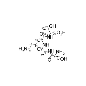 C[C@H](NC(=O)[C@@H](N)CO)C(=O)N[C@@H](CCCCN)C(=O)N[C@H](C(=O)O)[C@@H](C)O